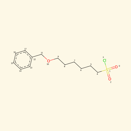 O=S(=O)(Cl)CCCCCCOCc1ccccc1